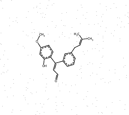 COc1ccc(C(=CC=O)c2cccc(CC=C(C)C)c2)c(O)c1